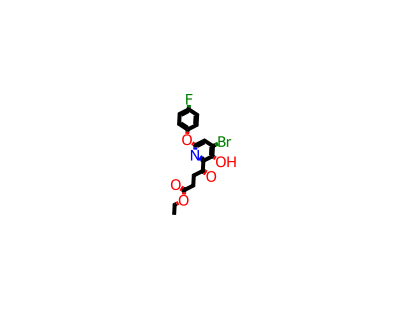 CCOC(=O)CCC(=O)c1nc(Oc2ccc(F)cc2)cc(Br)c1O